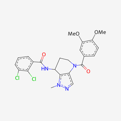 COc1ccc(C(=O)N2CCC(NC(=O)c3cccc(Cl)c3Cl)c3c2cnn3C)cc1OC